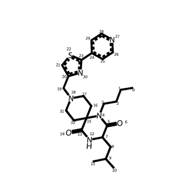 CCCCN1C(=O)C(CC(C)C)NC(=O)C12CCN(Cc1csc(-c3ccncc3)n1)CC2